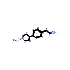 NCCc1ccc(C2CCN(C(=O)O)CC2)cc1